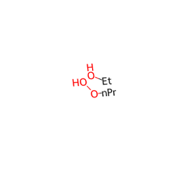 CCCOO.CCO